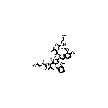 COCCNC(=O)N[C@H](C(=O)NN(Cc1ccc(OC)c(OC)c1)C(N)[C@@H](O)[C@H](Cc1ccccc1)C(=O)[C@@H](NC(=O)NCCOC)C(C)C)C(C)C